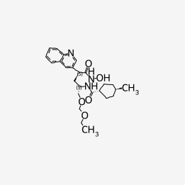 CCOCOC[C@H](C[C@H](C(=O)NO)c1cnc2ccccc2c1)NC(=O)[C@H]1CC[C@H](C)CC1